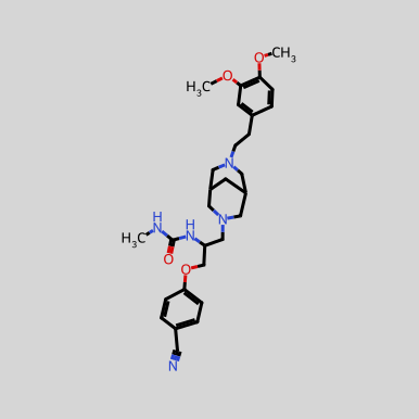 CNC(=O)NC(COc1ccc(C#N)cc1)CN1CC2CC(CN(CCc3ccc(OC)c(OC)c3)C2)C1